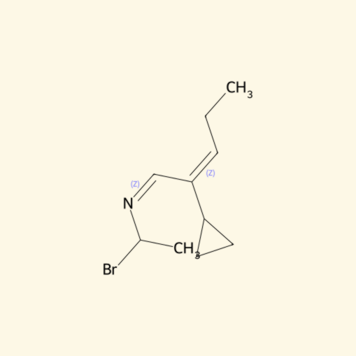 CC/C=C(\C=N/C(C)Br)C1CC1